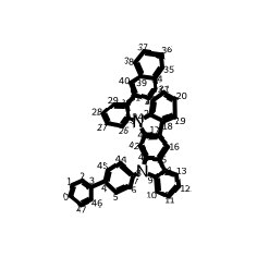 c1ccc(-c2ccc(-n3c4ccccc4c4cc5c6ccccc6n(-c6ccccc6-c6ccc7ccccc7c6)c5cc43)cc2)cc1